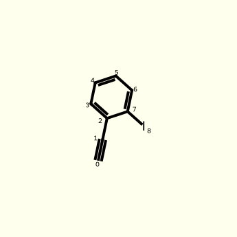 C#Cc1ccccc1I